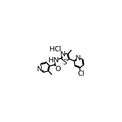 Cc1cnccc1C(=O)Nc1nc(C)c(-c2cc(Cl)ccn2)s1.Cl